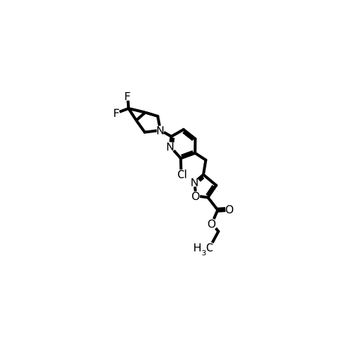 CCOC(=O)c1cc(Cc2ccc(N3CC4C(C3)C4(F)F)nc2Cl)no1